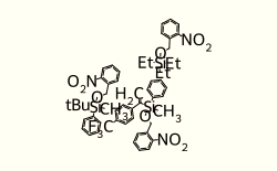 C=C(c1ccc(C(F)(F)F)cc1)[Si](C)(OCc1ccccc1[N+](=O)[O-])c1ccccc1.CC(C)(C)[Si](C)(OCc1ccccc1[N+](=O)[O-])c1ccccc1.CC[Si](CC)(CC)OCc1ccccc1[N+](=O)[O-]